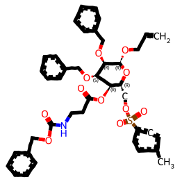 C=CCO[C@@H]1O[C@H](COS(=O)(=O)c2ccc(C)cc2)[C@@H](OC(=O)CCNC(=O)OCc2ccccc2)[C@H](OCc2ccccc2)[C@H]1OCc1ccccc1